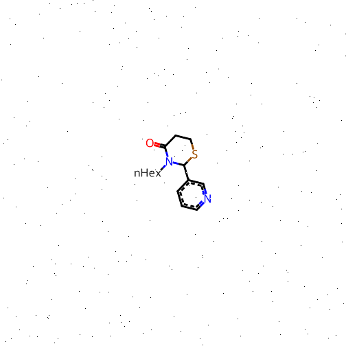 CCCCCCN1C(=O)CCSC1c1cccnc1